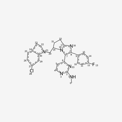 CNc1nccc(-c2c(-c3ccc(F)cc3)nc3n2C(Cn2ccc4ccc(Cl)cc42)CC3)n1